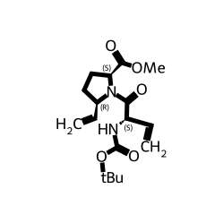 C=C[C@H](NC(=O)OC(C)(C)C)C(=O)N1[C@@H](C=C)CC[C@H]1C(=O)OC